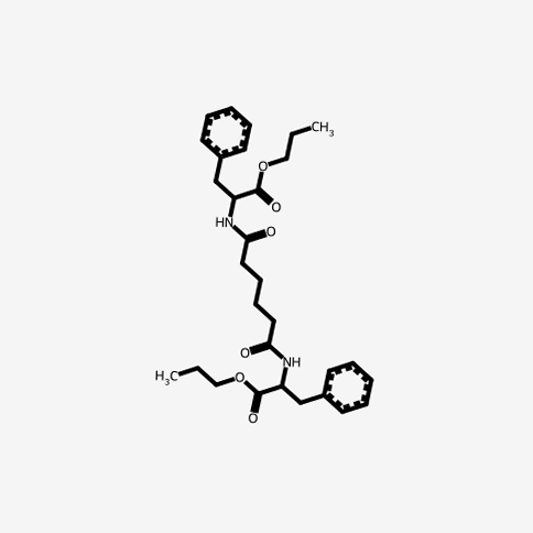 CCCOC(=O)C(Cc1ccccc1)NC(=O)CCCCC(=O)NC(Cc1ccccc1)C(=O)OCCC